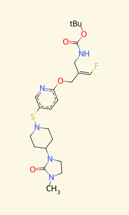 CN1CCN(C2CCN(Sc3ccc(OC/C(=C/F)CNC(=O)OC(C)(C)C)nc3)CC2)C1=O